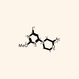 COc1nc(I)cc(N2CCOC(C(C)=O)C2)n1